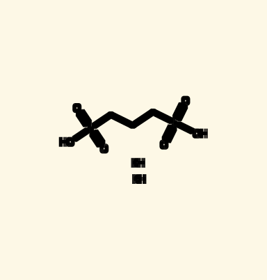 O=S(=O)(O)CCCS(=O)(=O)O.[KH].[KH]